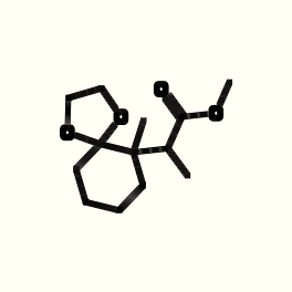 COC(=O)C(C)C1(C)CCCCC12OCCO2